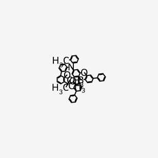 Cc1ccccc1N(c1cc2c3c(c1)Oc1cc(-c4ccccc4)ccc1B3c1ccc(-c3ccccc3)cc1O2)c1cccc2c1oc1c(C(C)(C)C)cccc12